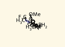 COCCOc1ccc(-c2cc(C(F)(F)P)nn2C)c(O)c1/C(C)=C/C=C(/C)CC(F)(F)F